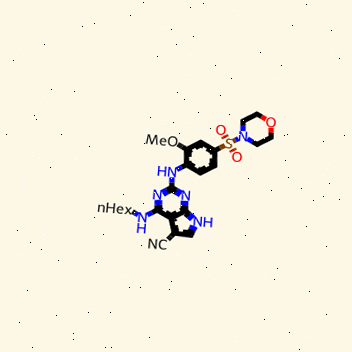 CCCCCCNc1nc(Nc2ccc(S(=O)(=O)N3CCOCC3)cc2OC)nc2[nH]cc(C#N)c12